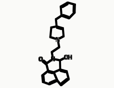 O=C1c2cccc3cccc(c23)C(O)N1CCN1CC=C(Cc2ccccc2)CC1